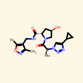 CCc1onc(C)c1CNC(=O)[C@@H]1C[C@@H](O)CN1C(=O)[C@@H](n1cc(C2CC2)nn1)C(C)(C)C